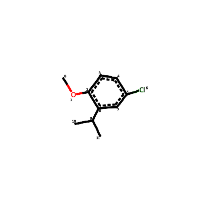 COc1ccc(Cl)cc1C(C)C